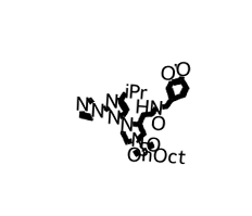 CCCCCCCCS(=O)(=O)N1CCN(c2cc(C(C)C)nc(-n3ccnc3)n2)C(CC(=O)NCc2ccc3c(c2)OCO3)C1